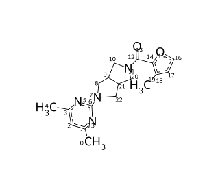 Cc1cc(C)nc(N2CC3CN(C(=O)c4occc4C)CC3C2)n1